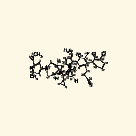 COc1cc(N2C[C@@H]3C[C@H](C2)N(C(=O)C2CC2)[C@H]3c2cc3c(C)nc4c(F)c(-c5cccc(Cl)c5Cl)c(CCC#N)cc4c3n2[C@H]2[C@H]3CN[C@@H]2C3)cc(C)n1